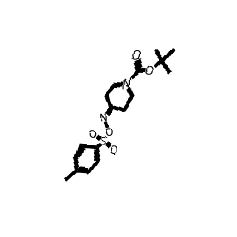 Cc1ccc(S(=O)(=O)ON=C2CCN(C(=O)OC(C)(C)C)CC2)cc1